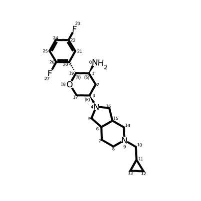 N[C@H]1C[C@@H](N2CC3CCN(CC4CC4)CC3C2)CO[C@@H]1c1cc(F)ccc1F